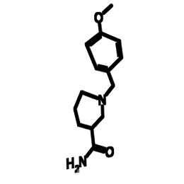 COc1ccc(CN2CCCC(C(N)=O)C2)cc1